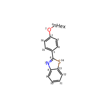 CCCCCCOc1ccc(-c2nc3ccccc3s2)cc1